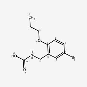 CCCOc1ccc(Br)cc1CNC(=O)O